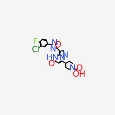 O=C(O)N1CCC(c2cc(=O)[nH]c3c(-c4nc(-c5ccc(F)c(Cl)c5)no4)cnn23)CC1